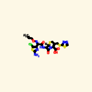 C=CCO/N=C(/C(=O)NC1C(=O)N2C(C(=O)O)=C(CSc3nncs3)CS[C@H]12)c1nc(N)sc1Cl